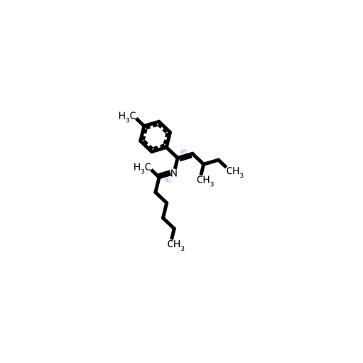 CCCCC/C(C)=N/C(=C\C(C)CC)c1ccc(C)cc1